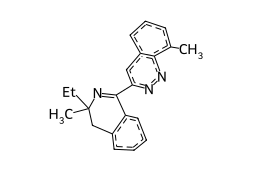 CCC1(C)Cc2ccccc2C(c2cc3cccc(C)c3nn2)=N1